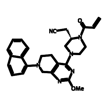 C=CC(=O)N1CCN(c2nc(OC)nc3c2CCN(c2cccc4ccccc24)C3)C[C@@H]1CC#N